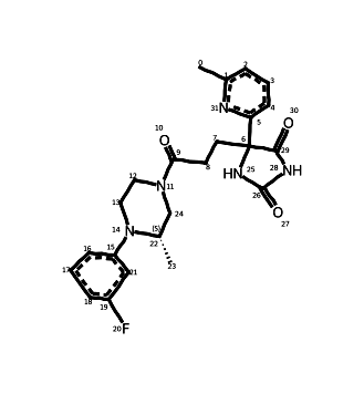 Cc1cccc(C2(CCC(=O)N3CCN(c4cccc(F)c4)[C@@H](C)C3)NC(=O)NC2=O)n1